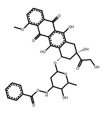 COc1cccc2c1C(=O)c1c(O)c3c(c(O)c1C2=O)C[C@@](O)(C(=O)CO)C[C@@H]3OC1CC(NOC(=O)c2ccccc2)C(O)C(C)O1